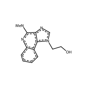 CNc1nc2ccccc2c2c1ncn2CCO